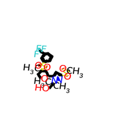 CC(C)(CO)n1nc(S(C)(=O)=O)cc1C1CC(C)(S(=O)(=O)c2cccc(C(F)(F)F)c2)CCO1